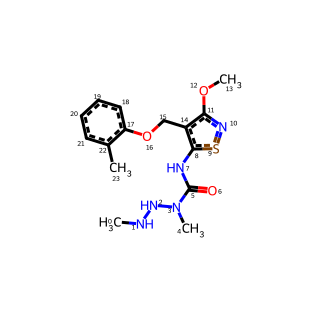 CNNN(C)C(=O)Nc1snc(OC)c1COc1ccccc1C